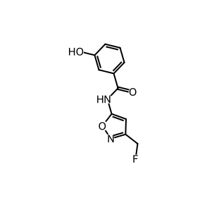 O=C(Nc1cc(CF)no1)c1cccc(O)c1